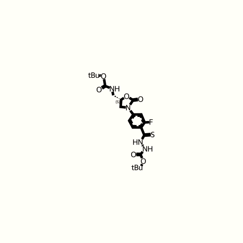 CC(C)(C)OC(=O)NC[C@H]1CN(c2ccc(C(=S)NNC(=O)OC(C)(C)C)c(F)c2)C(=O)O1